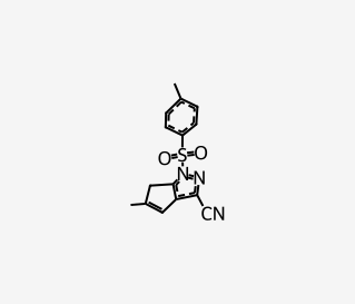 CC1=Cc2c(C#N)nn(S(=O)(=O)c3ccc(C)cc3)c2C1